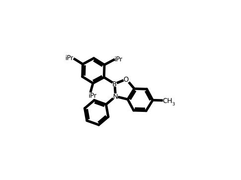 Cc1ccc2c(c1)OB(c1c(C(C)C)cc(C(C)C)cc1C(C)C)N2c1ccccc1